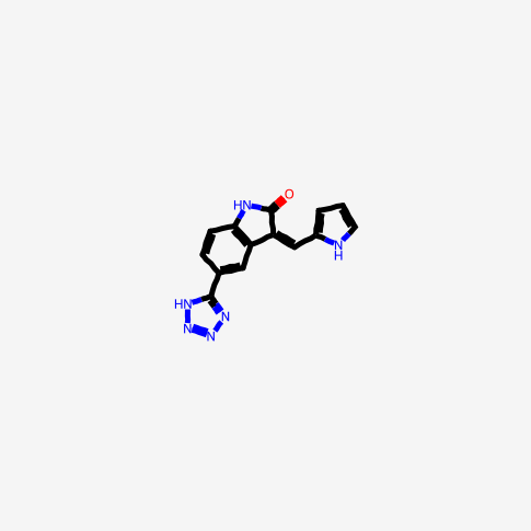 O=C1Nc2ccc(-c3nnn[nH]3)cc2C1=Cc1ccc[nH]1